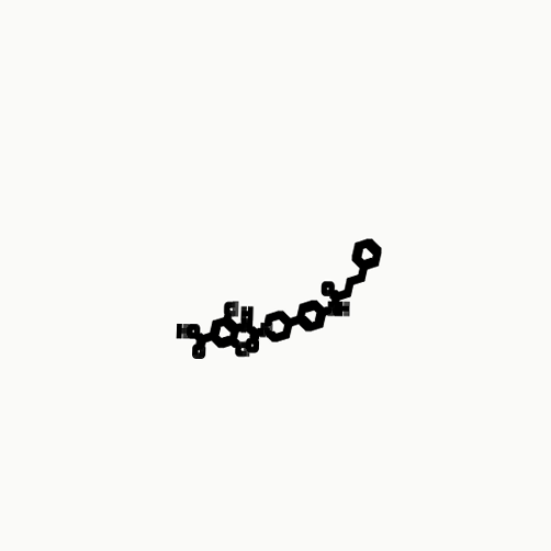 O=C(CCCc1ccccc1)Nc1ccc(C2CCN(C(=O)Nc3c(Cl)cc(C(=O)O)cc3Cl)CC2)cc1